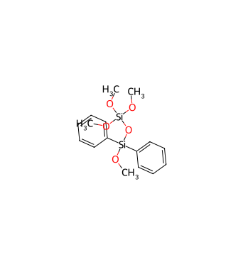 CO[Si](OC)(OC)O[Si](OC)(c1ccccc1)c1ccccc1